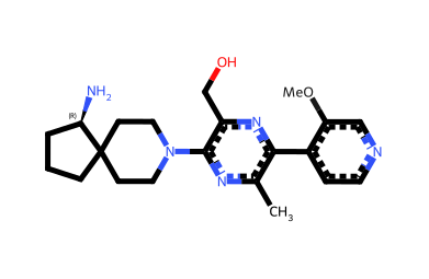 COc1cnccc1-c1nc(CO)c(N2CCC3(CCC[C@H]3N)CC2)nc1C